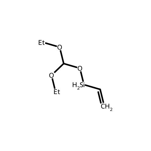 C=C[SiH2]OC(OCC)OCC